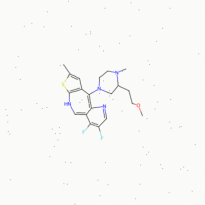 COCCC1CN(C2=c3ncc(F)c(F)c3=CNc3sc(C)cc32)CCN1C